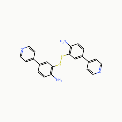 Nc1ccc(-c2ccncc2)cc1SSc1cc(-c2ccncc2)ccc1N